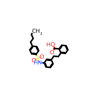 CCCCc1ccc(S(=O)(=O)Nc2cccc(CCc3ccccc3C(=O)O)c2)cc1